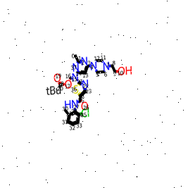 Cc1nc(N2CCN(CCO)CC2)cc(N(COC(=O)C(C)(C)C)c2ncc(C(=O)Nc3c(C)cccc3Cl)s2)n1